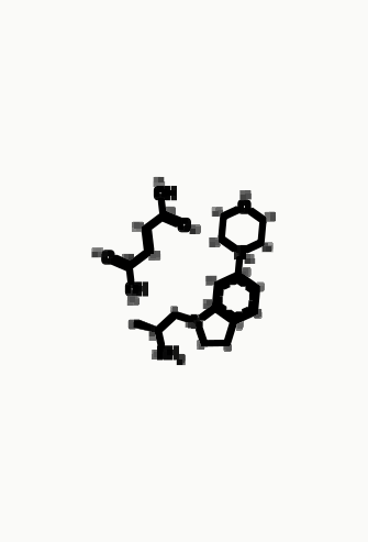 C[C@H](N)CN1CCc2ccc(N3CCOCC3)cc21.O=C(O)C=CC(=O)O